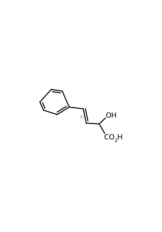 O=C(O)C(O)/C=C/c1ccccc1